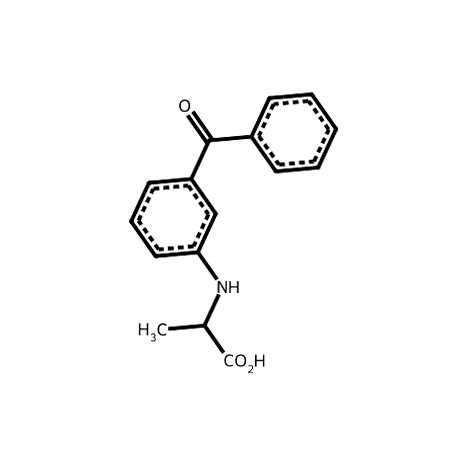 CC(Nc1cccc(C(=O)c2ccccc2)c1)C(=O)O